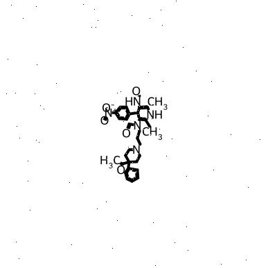 CCC1=C(N(C=O)CCCN2CCC(C(C)=O)(c3ccccc3)CC2)C(c2ccc([N+](=O)[O-])cc2)C(NC=O)=C(C)N1